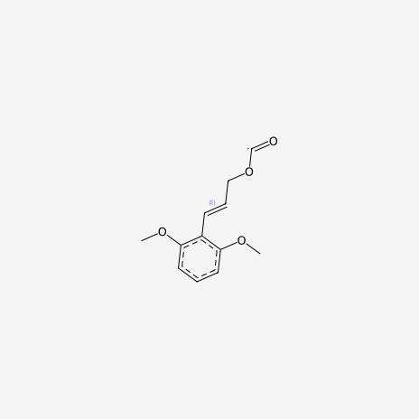 COc1cccc(OC)c1/C=C/CO[C]=O